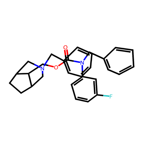 O=C(OCC1C2CCC1CN(Cc1ccccc1)C2)N(Cc1ccccc1)c1cccc(F)c1